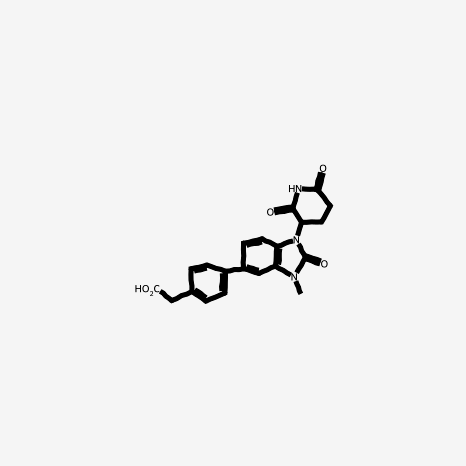 Cn1c(=O)n(C2CCC(=O)NC2=O)c2ccc(-c3ccc(CC(=O)O)cc3)cc21